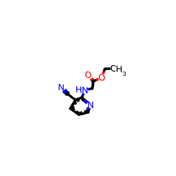 CCOC(=O)CNc1ncccc1C#N